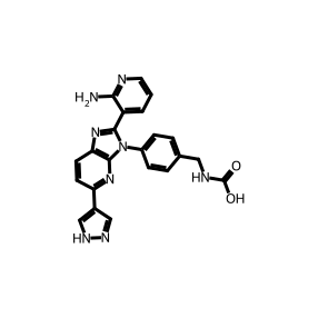 Nc1ncccc1-c1nc2ccc(-c3cn[nH]c3)nc2n1-c1ccc(CNC(=O)O)cc1